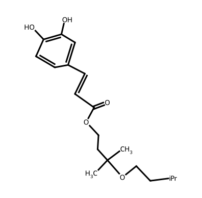 CC(C)CCOC(C)(C)CCOC(=O)/C=C/c1ccc(O)c(O)c1